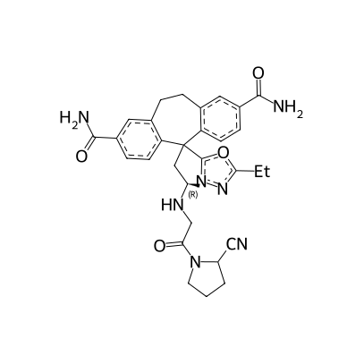 CCc1nnc(C2(C[C@@H](C)NCC(=O)N3CCCC3C#N)c3ccc(C(N)=O)cc3CCc3cc(C(N)=O)ccc32)o1